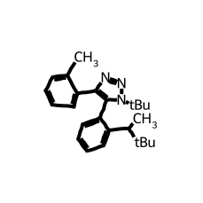 Cc1ccccc1-c1nnn(C(C)(C)C)c1-c1ccccc1C(C)C(C)(C)C